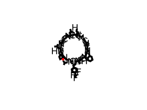 CC[C@H](C)[C@H]1CN(C)CCN(C)CCN(C)[C@@H](CC2CCCCC2)CN(C)CCN[C@@H](CCc2ccc(C(F)(F)F)c(F)c2)CN[C@@H](CC(C)C)CN(C)C2(CCCC2)CN[C@@H](CC(C)C)CN(C)[C@H](C)CCN(C)[C@@H](CC(C)C)CN1